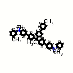 Cc1ccc(-c2ccc(C(C)(c3ccc(-c4ccc(N(C)c5ccccc5)cc4)cc3)c3ccc(-c4ccc(N(C)c5cccc(C)c5)cc4)cc3)cc2)cc1